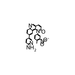 Cc1ccc(-n2c(=O)ccc3cnc4ccc(-c5ccc(N)nc5)cc4c32)cc1[N+](=O)[O-]